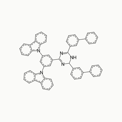 c1ccc(-c2cccc(C3=NC(c4cc(-n5c6ccccc6c6ccccc65)cc(-n5c6ccccc6c6ccccc65)c4)=NC(c4cccc(-c5ccccc5)c4)N3)c2)cc1